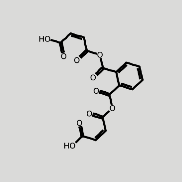 O=C(O)/C=C\C(=O)OC(=O)c1ccccc1C(=O)OC(=O)/C=C\C(=O)O